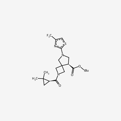 CC(C)(C)OC(=O)[C@@H]1CN(c2nc(C(F)(F)F)cs2)CC12CN(C(=O)[C@H]1CC1(C)C)C2